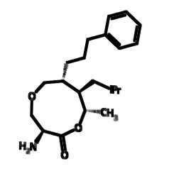 CC(C)C[C@@H]1[C@@H](CCCc2ccccc2)COC[C@H](N)C(=O)O[C@H]1C